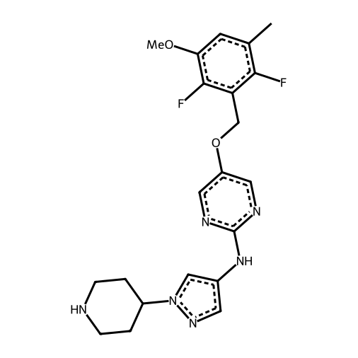 COc1cc(C)c(F)c(COc2cnc(Nc3cnn(C4CCNCC4)c3)nc2)c1F